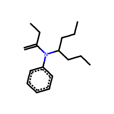 C=C(CC)N(c1ccccc1)C(CCC)CCC